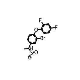 CC(c1ccc(Oc2ccc(F)cc2F)c(Br)c1)[SH](=O)=O